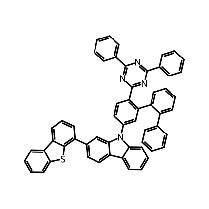 c1ccc(-c2nc(-c3ccccc3)nc(-c3ccc(-n4c5ccccc5c5ccc(-c6cccc7c6sc6ccccc67)cc54)cc3-c3ccccc3-c3ccccc3)n2)cc1